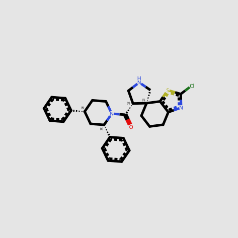 O=C([C@@H]1CNC[C@]12CCCc1nc(Cl)sc12)N1CC[C@@H](c2ccccc2)C[C@H]1c1ccccc1